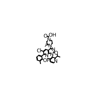 Cc1cccc(-c2nc3c(cc2Cl)c(N2CCN(C(=O)O)C[C@@H]2C)nc(=O)n3-c2c(C)ccnc2C(C)C)c1O